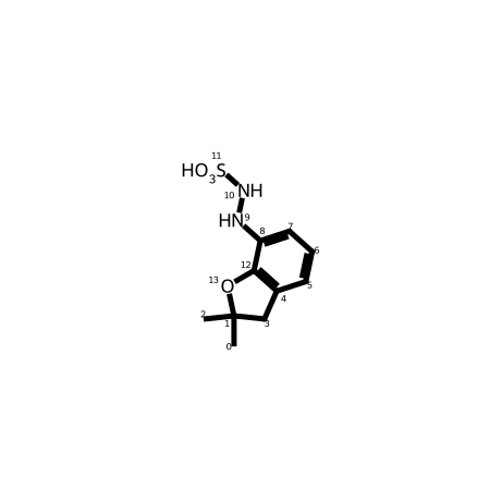 CC1(C)Cc2cccc(NNS(=O)(=O)O)c2O1